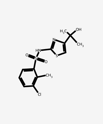 Cc1c(Cl)cccc1S(=O)(=O)Nc1nc(C(C)(C)O)cs1